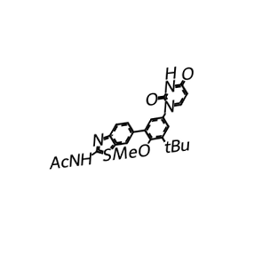 COc1c(-c2ccc3nc(NC(C)=O)sc3c2)cc(-n2ccc(=O)[nH]c2=O)cc1C(C)(C)C